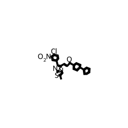 Cc1cn2c(C=CC(=O)c3ccc(-c4ccccc4)cc3)c(-c3ccc(Cl)c([N+](=O)[O-])c3)nc2s1